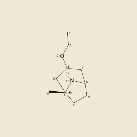 CCOC1CC2CC[C@](C)(C1)N2C